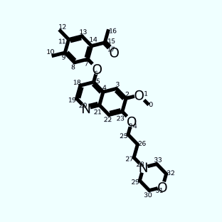 COc1cc2c(Oc3cc(C)c(C)cc3C(C)=O)ccnc2cc1OCCCN1CCOCC1